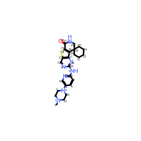 CN1CCN(c2ccc(Nc3ncc4sc5c(c4n3)C3(CCCCC3)CNC5=O)nc2)CC1